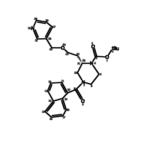 CC(C)(C)OC(=O)N1CCN(C(=O)c2cccc3ccccc23)C[C@@H]1CCOCc1cccnc1